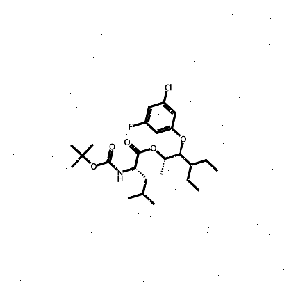 CCC(CC)[C@H](Oc1cc(F)cc(Cl)c1)[C@H](C)OC(=O)[C@H](CC(C)C)NC(=O)OC(C)(C)C